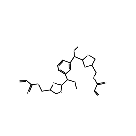 C=CC(=O)SCC1CSC(C(SC)c2cccc(C(SC)C3SCC(CSC(=O)C=C)S3)c2)S1